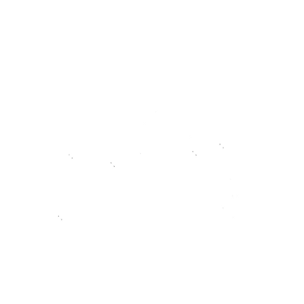 Cc1ccc(C(=O)Nc2cc(OC(F)(F)F)ccn2)cc1[C@@H]1CCN(c2cncc(C#N)c2)C1